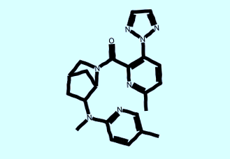 Cc1ccc(N(C)C2CC3CC2N(C(=O)c2nc(C)ccc2-n2nccn2)C3)nc1